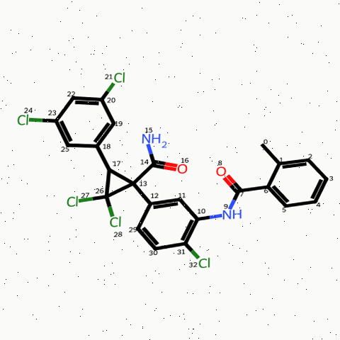 Cc1ccccc1C(=O)Nc1cc(C2(C(N)=O)C(c3cc(Cl)cc(Cl)c3)C2(Cl)Cl)ccc1Cl